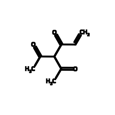 C=CC(=O)C(C(C)=O)C(C)=O